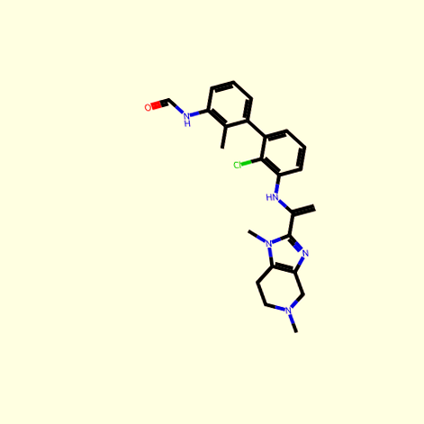 C=C(Nc1cccc(-c2cccc(NC=O)c2C)c1Cl)c1nc2c(n1C)CCN(C)C2